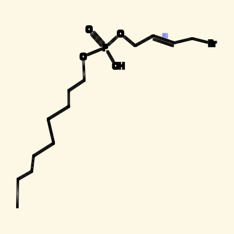 CCCCCCCCCOP(=O)(O)OC/C=C/CBr